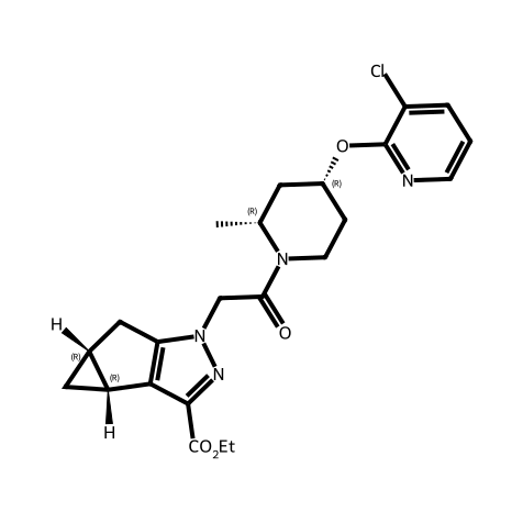 CCOC(=O)c1nn(CC(=O)N2CC[C@@H](Oc3ncccc3Cl)C[C@H]2C)c2c1[C@@H]1C[C@@H]1C2